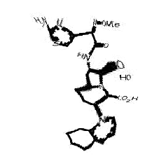 CO/N=C(\C(=O)N[C@H]1C(=O)N2C(C(=O)O)=C([n+]3cccc4c3CCCC4)CCC12)c1csc(N)n1.[OH-]